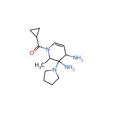 CC1N(C(=O)C2CC2)C=CC(N)C1(N)N1CCCC1